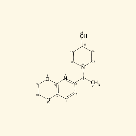 CC(c1ccc2c(n1)OCCO2)N1CCC(O)CC1